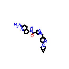 Nc1ccc2c(n1)CC[C@H]2NC(=O)c1cnn(Cc2ccc(N3CC4CC4C3)nc2)c1